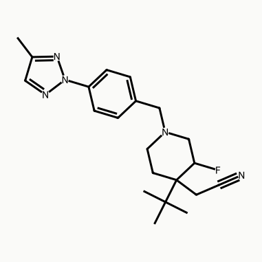 Cc1cnn(-c2ccc(CN3CCC(CC#N)(C(C)(C)C)C(F)C3)cc2)n1